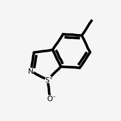 Cc1ccc2c(cn[s+]2[O-])c1